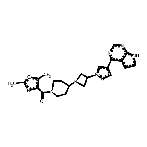 Cc1nc(C(=O)N2CCC(N3C[C](n4cc(-c5ncnc6[nH]ccc56)cn4)C3)CC2)c(C(F)(F)F)o1